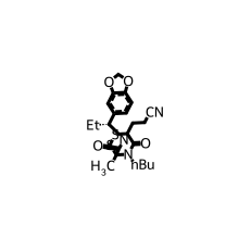 CCCCN1C(=O)C2(CCC#N)SSC1(C)C(=O)N2[C@H](CC)c1ccc2c(c1)OCO2